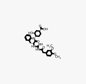 COc1ccc(CC(=O)NC(=N)N[C@H](Cc2ccccc2)C(=O)N[C@H]2CC[C@H](C(=O)O)C[C@@H]2O)cc1OC